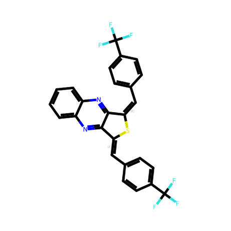 FC(F)(F)c1ccc(/C=c2\s/c(=C/c3ccc(C(F)(F)F)cc3)c3nc4ccccc4nc23)cc1